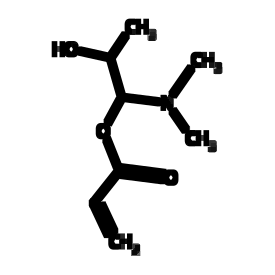 C=CC(=O)OC(C(C)O)N(C)C